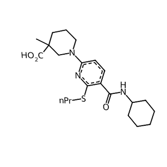 CCCSc1nc(N2CCCC(C)(C(=O)O)C2)ccc1C(=O)NC1CCCCC1